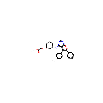 COc1ccc(-c2c(-c3ccccc3)oc3ncnc(N[C@H]4CCCC(OCC(=O)OC(C)(C)C)C4)c23)cc1